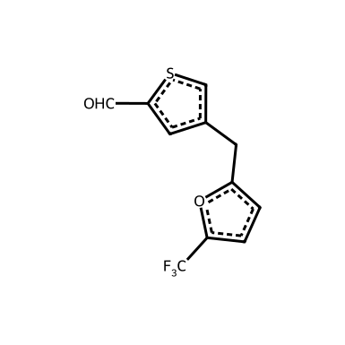 O=Cc1cc(Cc2ccc(C(F)(F)F)o2)cs1